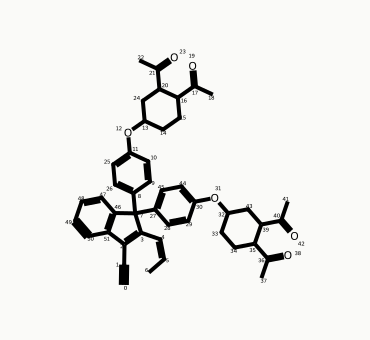 C#CC1=C(/C=C\C)C(c2ccc(OC3CCC(C(C)=O)C(C(C)=O)C3)cc2)(c2ccc(OC3CCC(C(C)=O)C(C(C)=O)C3)cc2)c2ccc#cc21